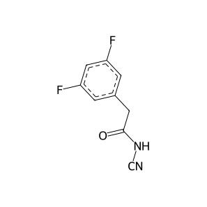 N#CNC(=O)Cc1cc(F)cc(F)c1